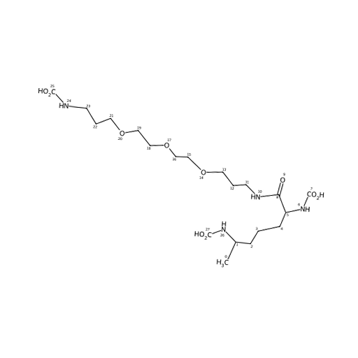 CC(CCCC(NC(=O)O)C(=O)NCCCOCCOCCOCCCNC(=O)O)NC(=O)O